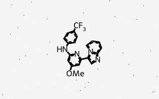 COc1cc(Nc2ccc(C(F)(F)F)cc2)nc(-c2cnc3ccccn23)c1